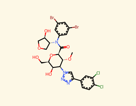 CO[C@@H]1[C@@H](n2cc(-c3ccc(Cl)c(Cl)c3)nn2)[C@@H](O)[C@@H](CO)O[C@H]1C(=O)N(c1cc(Br)cc(Br)c1)[C@@H]1COC[C@H]1O